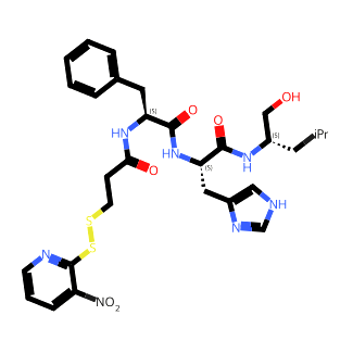 CC(C)C[C@@H](CO)NC(=O)[C@H](Cc1c[nH]cn1)NC(=O)[C@H](Cc1ccccc1)NC(=O)CCSSc1ncccc1[N+](=O)[O-]